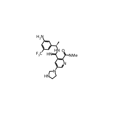 CNC(=O)c1ncc(N2CCNC2)cc1C(=N)N[C@H](C)c1cc(N)cc(C(F)(F)F)c1